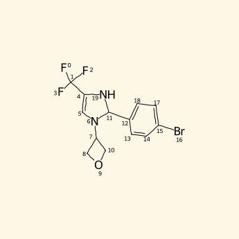 FC(F)(F)C1=CN(C2COC2)C(c2ccc(Br)cc2)N1